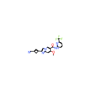 COc1cc2nc(C34CC(C#N)(C3)C4)cn2cc1C(=O)Nc1cccc(C(F)(F)F)n1